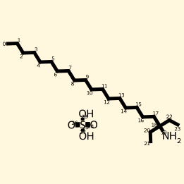 CCCCCCCCCCCCCCCCCCC(N)(CC)CC.O=S(=O)(O)O